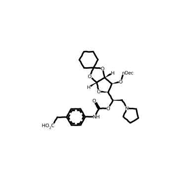 CCCCCCCCCCO[C@@H]1[C@H]2OC3(CCCCC3)O[C@H]2O[C@@H]1[C@@H](CN1CCCC1)OC(=O)Nc1ccc(CC(=O)O)cc1